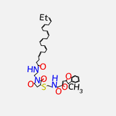 CC/C=C\C/C=C\C/C=C\C/C=C\C/C=C\C/C=C\CCC(=O)NCCN1C(=O)CC(SCCNC(=O)C2=CC(=O)C(C)(c3ccccc3)O2)C1=O